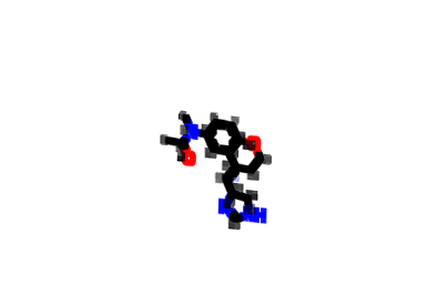 CC(=O)N(C)c1ccc2c(c1)/C(=C/C1CNC=N1)CCO2